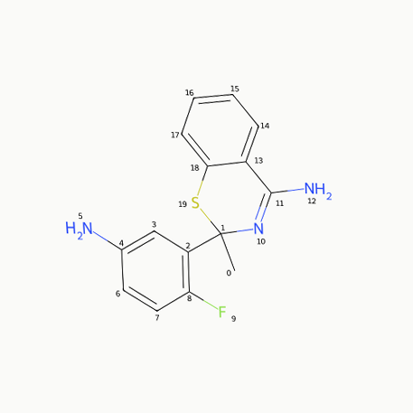 CC1(c2cc(N)ccc2F)N=C(N)c2ccccc2S1